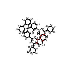 C1=C(c2ccncc2)N=C(c2ccncc2)CC1c1cccc2c1Sc1c(-c3nc(-c4ccccc4)cc(-c4ccccc4)n3)cccc1C21c2ccccc2-c2ccccc21